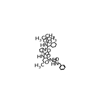 CCCC(NC(=O)[C@@H]1CCCN1C(=O)C(NC(=O)OC(C)(C)C)C1CCCCC1)C(=O)C(=O)NCC(=O)NCc1ccccc1